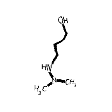 CN(C)NCCCO